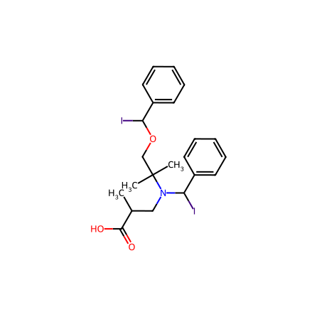 CC(CN(C(I)c1ccccc1)C(C)(C)COC(I)c1ccccc1)C(=O)O